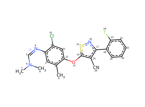 Cc1cc(/N=C\N(C)C)c(Cl)cc1Oc1snc(-c2ccccc2F)c1C#N